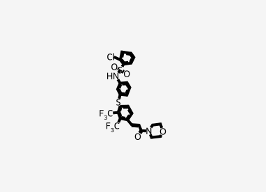 O=C(/C=C/c1ccc(Sc2cccc(NS(=O)(=O)c3ccccc3Cl)c2)c(C(F)(F)F)c1C(F)(F)F)N1CCOCC1